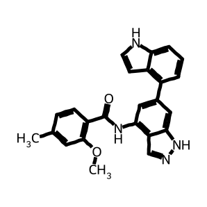 COc1cc(C)ccc1C(=O)Nc1cc(-c2cccc3[nH]ccc23)cc2[nH]ncc12